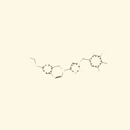 O=C(O)CNc1nc2c(s1)C=CN(c1cn(Cc3cc(Cl)c(Cl)c(Cl)c3)nn1)C2